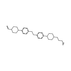 C=CC1CCC(c2ccc(CCc3ccc(C4CCC(CCCF)CC4)cc3)cc2)CC1